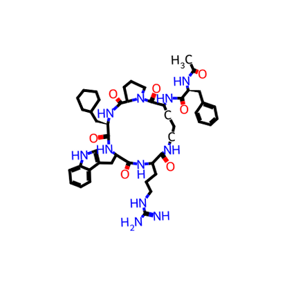 CC(=O)N[C@@H](Cc1ccccc1)C(=O)NC1CCCNC(=O)C(CCCNC(=N)N)NC(=O)C(Cc2c[nH]c3ccccc23)NC(=O)[C@@H](CC2CCCCC2)NC(=O)C2CCCN2C1=O